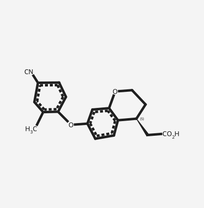 [C-]#[N+]c1ccc(Oc2ccc3c(c2)OCC[C@H]3CC(=O)O)c(C)c1